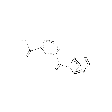 NC(=O)c1cccc(C(=O)N2C3=CC=CC2=C3)c1